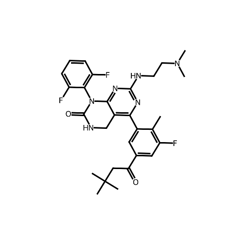 Cc1c(F)cc(C(=O)CC(C)(C)C)cc1-c1nc(NCCN(C)C)nc2c1CNC(=O)N2c1c(F)cccc1F